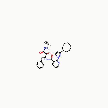 NC(=O)C(=O)C(Cc1ccccc1)NC(=O)c1cccnc1-n1ccc([C]2CCCCCCC2)n1.[CH2].[CH2]